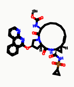 CC(C)(C)OC(=O)N[C@H]1CCCCC/C=C\[C@@H]2C[C@@]2(C(=O)NS(=O)(=O)C2CC2)NC(=O)[C@@H]2C[C@@H](Oc3nc4ncccc4c4ccccc34)CN2C1=O